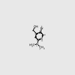 CN(C)c1cc(CO)c(Br)cn1